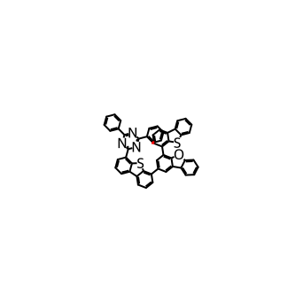 c1ccc(-c2nc(-c3ccccc3)nc(-c3cccc4c3sc3c(-c5cc(-c6cccc7c6sc6ccccc67)c6oc7ccccc7c6c5)cccc34)n2)cc1